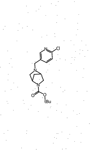 CC(C)(C)OC(=O)N1CC2CC1CN2Cc1ccc(Cl)nc1